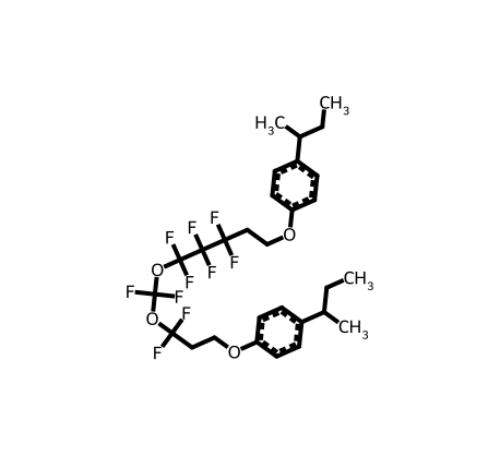 CCC(C)c1ccc(OCCC(F)(F)OC(F)(F)OC(F)(F)C(F)(F)C(F)(F)CCOc2ccc(C(C)CC)cc2)cc1